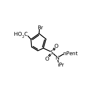 CCCCCN(C(C)C)S(=O)(=O)c1ccc(C(=O)O)c(Br)c1